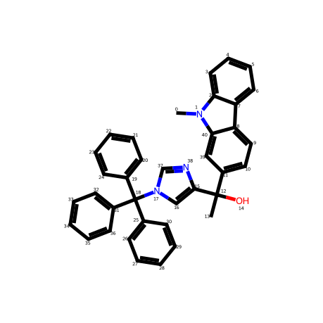 Cn1c2ccccc2c2ccc(C(C)(O)c3cn(C(c4ccccc4)(c4ccccc4)c4ccccc4)cn3)cc21